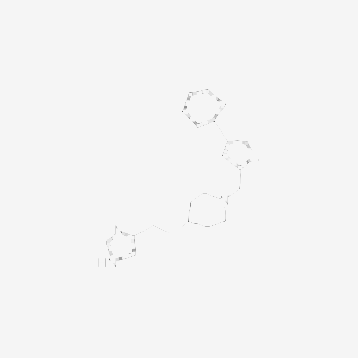 c1ccc(-c2csc(CN3CCC(OCc4c[nH]cn4)CC3)c2)cc1